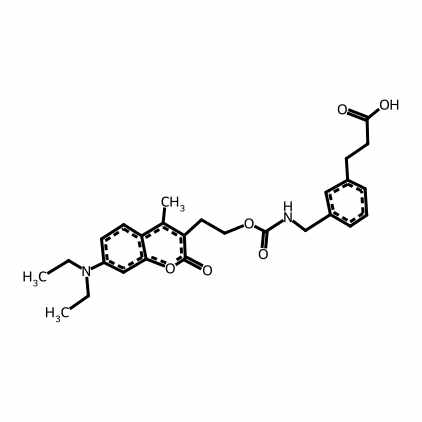 CCN(CC)c1ccc2c(C)c(CCOC(=O)NCc3cccc(CCC(=O)O)c3)c(=O)oc2c1